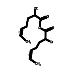 C/C=C\CCC(CC)C(=O)OC(=O)C(CC)CC/C=C\C